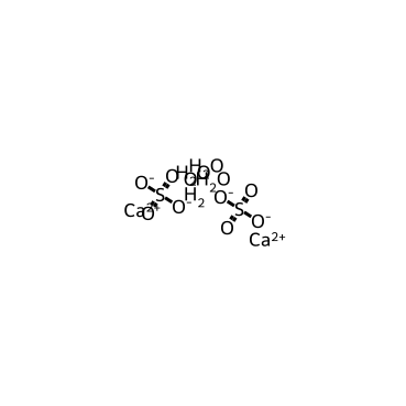 O.O.O.O.O=S(=O)([O-])[O-].O=S(=O)([O-])[O-].[Ca+2].[Ca+2]